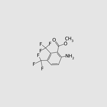 COC(=O)c1c(N)ccc(C(F)(F)F)c1C(F)(F)F